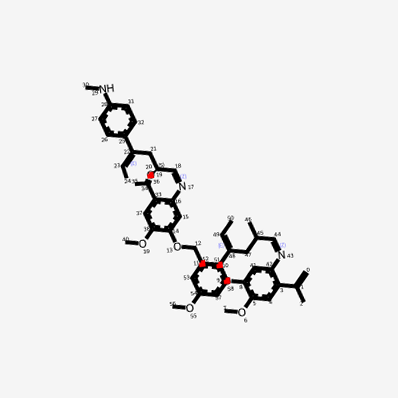 C=C(C)c1cc(OC)c(OCCCOc2cc(/N=C\[C@@H](C)C/C(=C\C)c3ccc(NC)cc3)c(C(C)=O)cc2OC)cc1/N=C\C(C)C/C(=C\C)c1ccc(OC)cc1